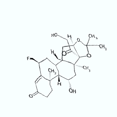 CC1(C)O[C@@H]2C[C@H]3C4C[C@H](F)C5=CC(=O)CC[C@]5(C)[C@H]4[C@@H](O)C[C@]3(C)[C@]2(C(=O)CO)O1